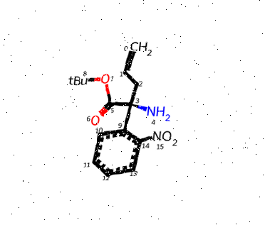 C=CC[C@@](N)(C(=O)OC(C)(C)C)c1ccccc1[N+](=O)[O-]